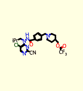 CC(C)CN(NC(=O)c1ccc(CN2CCC(COC(=O)C(F)(F)F)CC2)cc1)c1nc(C#N)ncc1Cl